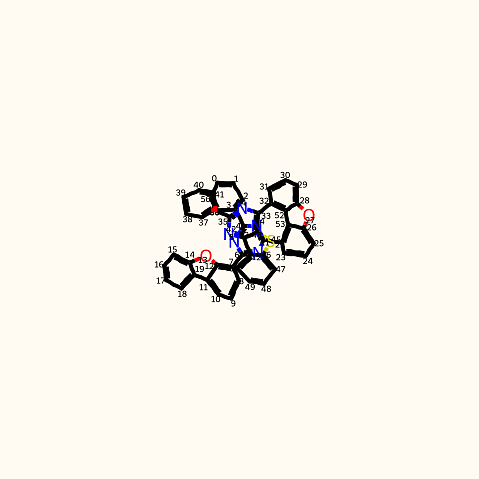 c1ccc(-c2nc(-c3cccc4c3oc3ccccc34)nc(-c3cccc4oc5cccc(-c6nc(-c7ccccc7)nc7c6sc6ccccc67)c5c34)n2)cc1